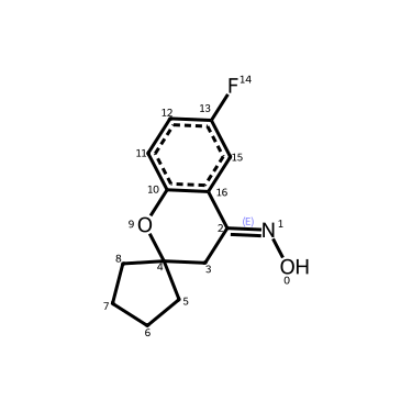 O/N=C1\CC2(CCCC2)Oc2ccc(F)cc21